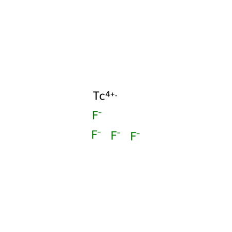 [F-].[F-].[F-].[F-].[Tc+4]